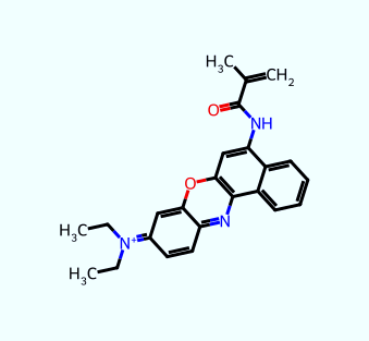 C=C(C)C(=O)Nc1cc2oc3cc(=[N+](CC)CC)ccc-3nc2c2ccccc12